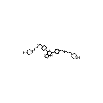 C(=N/CCCN1CCNCC1)/c1ccc(-c2nc(-c3ccc(/C=N/CCCN4CCNCC4)cc3)nc3ccsc23)cc1